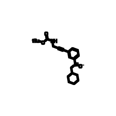 CC(C)(C)OC(=O)NCC#Cc1cccc([S+]([O-])CC2CCCCC2)c1